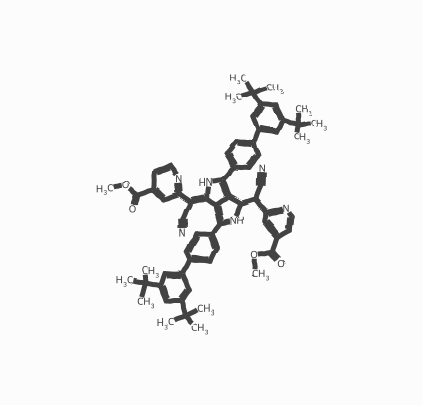 COC(=O)c1ccnc(/C(C#N)=c2\[nH]c(-c3ccc(-c4cc(C(C)(C)C)cc(C(C)(C)C)c4)cc3)c3c2=C(c2ccc(-c4cc(C(C)(C)C)cc(C(C)(C)C)c4)cc2)NC3C(C#N)c2cc(C(=O)OC)ccn2)c1